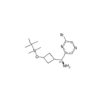 CC(C)(C)[Si](C)(C)OC1CC([C@H](N)c2cncc(Br)n2)C1